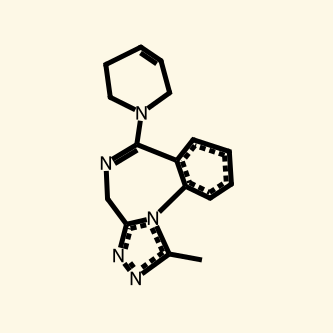 Cc1nnc2n1-c1ccccc1C(N1CC=CCC1)=NC2